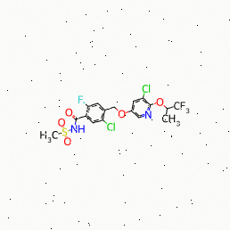 CC(Oc1ncc(OCc2cc(F)c(C(=O)NS(C)(=O)=O)cc2Cl)cc1Cl)C(F)(F)F